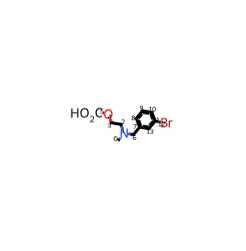 CN(CCOC(=O)O)Cc1cccc(Br)c1